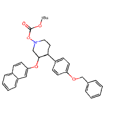 CC(C)(C)OC(=O)ON1CCC(c2ccc(OCc3ccccc3)cc2)C(Oc2ccc3ccccc3c2)C1